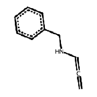 C=C=CNCc1ccccc1